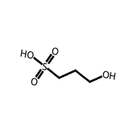 O=S(=O)(O)CCCO